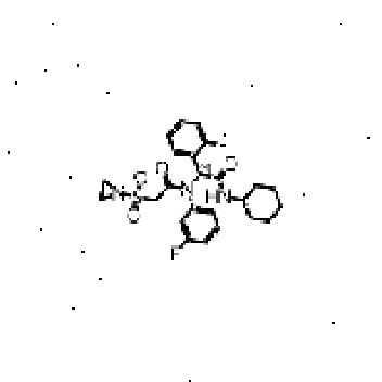 Cc1ccccc1[C@@H](C(=O)NC1CCCCC1)N(C(=O)CS(=O)(=O)N1CC1)c1cccc(F)c1